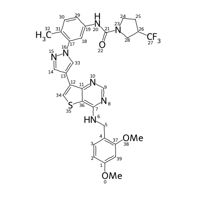 COc1ccc(CNc2ncnc3c(-c4cnn(-c5cc(NC(=O)N6CCC(C(F)(F)F)C6)ccc5C)c4)csc23)c(OC)c1